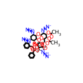 CC(=O)OCC1O[C@H](O[C@@H]2C(N=[N+]=[N-])C[C@@H](N=[N+]=[N-])[C@@H](OC(C)=O)C2O[C@@H]2O[C@H](CN=[N+]=[N-])C(OC(=O)c3ccccc3)[C@@H]2OC(=O)c2ccccc2)C(N=[N+]=[N-])[C@@H](OC(C)=O)[C@@H]1OC(C)=O